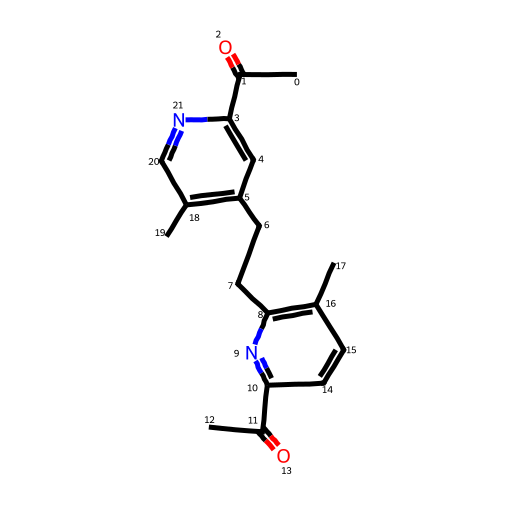 CC(=O)c1cc(CCc2nc(C(C)=O)ccc2C)c(C)cn1